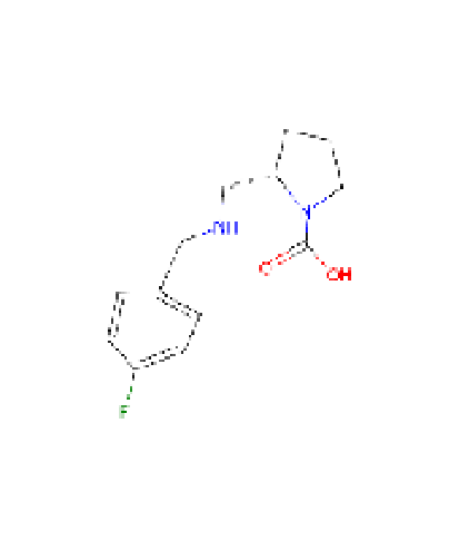 O=C(O)N1CCC[C@H]1CNCc1ccc(F)cc1